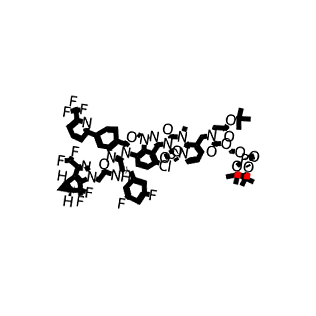 CN(C(=O)N(c1nn(C)c2c(-n3c([C@H](Cc4cc(F)cc(F)c4)NC(=O)Cn4nc(C(F)F)c5c4C(F)(F)[C@@H]4C[C@H]54)nc4cc(-c5cccc(C(F)(F)F)n5)ccc4c3=O)ccc(Cl)c12)S(C)(=O)=O)c1ncccc1CN(CC(=O)OC(C)(C)C)C(=O)OCOP(=O)(OC(C)(C)C)OC(C)(C)C